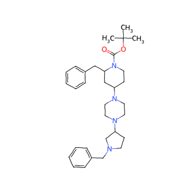 CC(C)(C)OC(=O)N1CCC(N2CCN(C3CCN(Cc4ccccc4)C3)CC2)CC1Cc1ccccc1